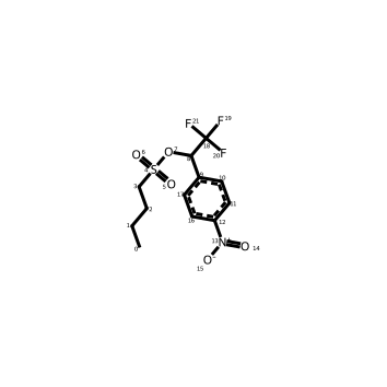 CCCCS(=O)(=O)OC(c1ccc([N+](=O)[O-])cc1)C(F)(F)F